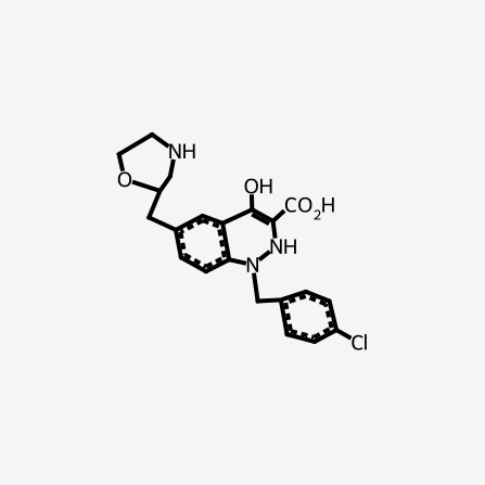 O=C(O)C1=C(O)c2cc(CC3CNCCO3)ccc2N(Cc2ccc(Cl)cc2)N1